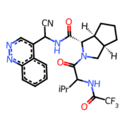 CC(C)C(NC(=O)C(F)(F)F)C(=O)N1C[C@@H]2CCC[C@@H]2[C@H]1C(=O)NC(C#N)c1cnnc2ccccc12